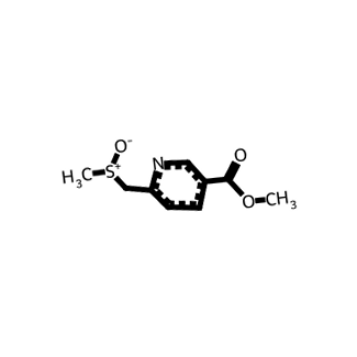 COC(=O)c1ccc(C[S+](C)[O-])nc1